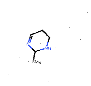 CSC1N=CCCN1